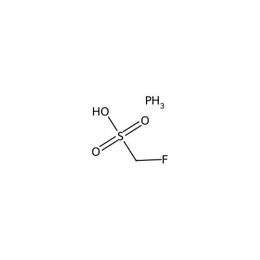 O=S(=O)(O)CF.P